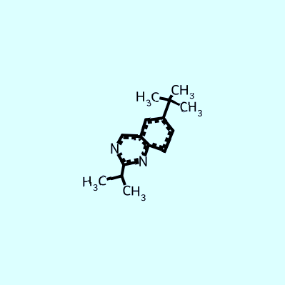 CC(C)c1ncc2cc(C(C)(C)C)ccc2n1